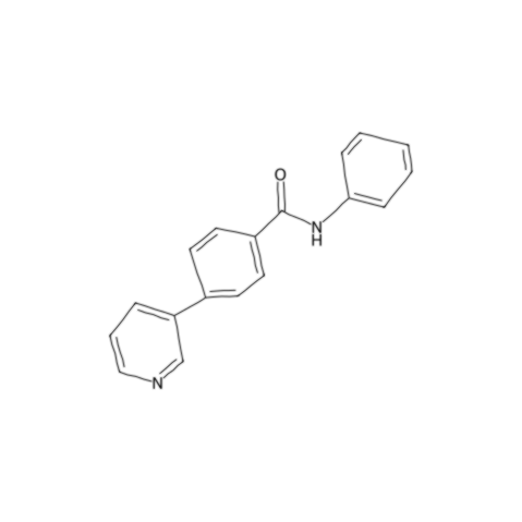 O=C(Nc1ccccc1)c1ccc(-c2cccnc2)cc1